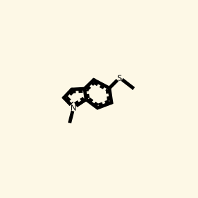 CSc1ccc2c(ccn2C)c1